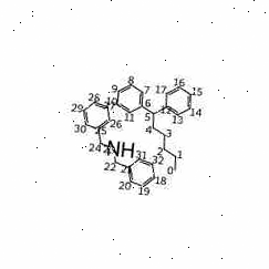 CCCCCC(c1ccccc1)c1ccccc1.c1ccc(CNCc2ccccc2)cc1